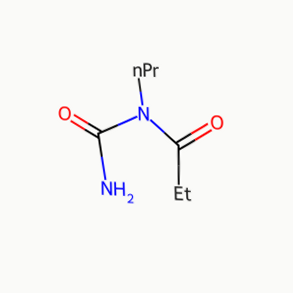 CCCN(C(N)=O)C(=O)CC